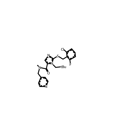 CN(Cc1ccncc1)C(=O)c1cnc(SCc2c(F)cccc2Cl)n1CC(C)(C)C